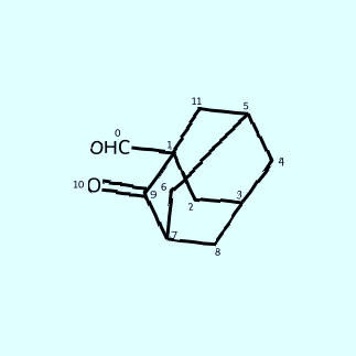 O=CC12CC3CC(CC(C3)C1=O)C2